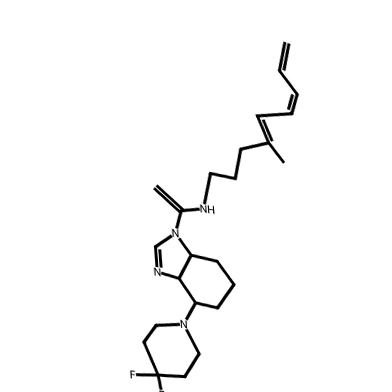 C=C/C=C\C=C(/C)CCCNC(=C)N1C=NC2C(N3CCC(F)(F)CC3)CCCC21